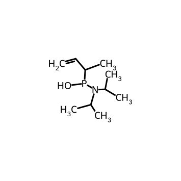 C=CC(C)P(O)N(C(C)C)C(C)C